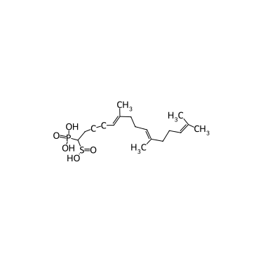 CC(C)=CCCC(C)=CCCC(C)=CCCCC(S(=O)O)P(=O)(O)O